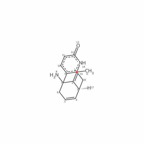 C/C=C1\[C@@H]2C=CCC1(N)c1ccc(=O)[nH]c1C2